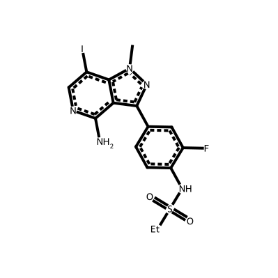 CCS(=O)(=O)Nc1ccc(-c2nn(C)c3c(I)cnc(N)c23)cc1F